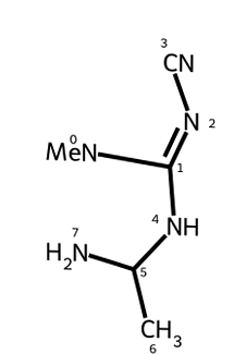 CN/C(=N\C#N)NC(C)N